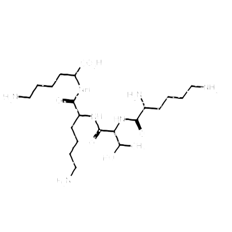 CC(O)C(NC(=O)C(N)CCCCN)C(=O)NC(CCCCN)C(=O)NC(CCCCN)C(=O)O